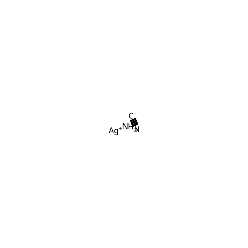 N.[Ag+].[C-]#N